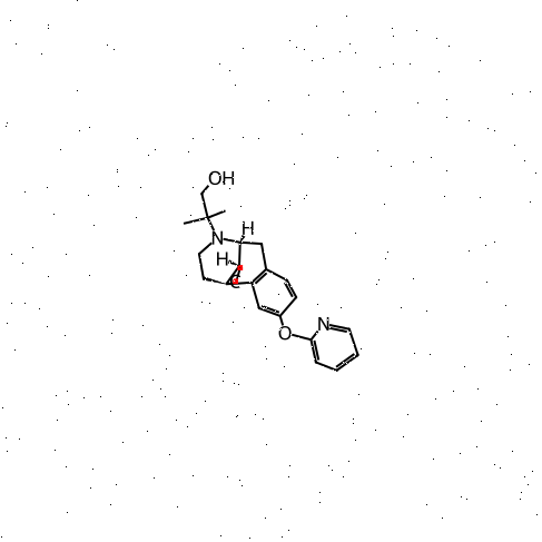 CC(C)(CO)N1CC[C@]23CCCC[C@H]2[C@H]1Cc1ccc(Oc2ccccn2)cc13